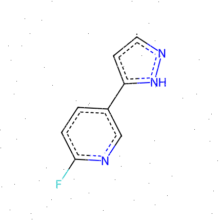 Fc1ccc(-c2c[c]n[nH]2)cn1